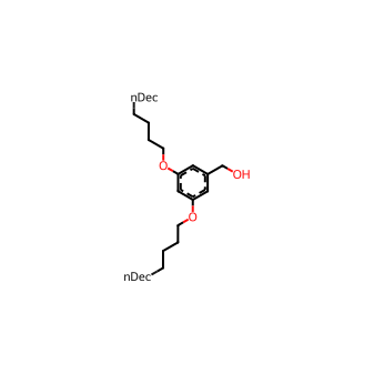 CCCCCCCCCCCCCCOc1cc(CO)cc(OCCCCCCCCCCCCCC)c1